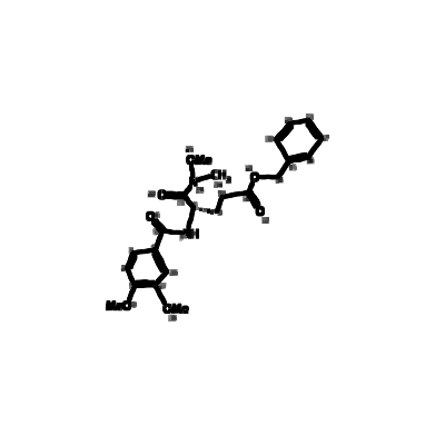 COc1ccc(C(=O)N[C@@H](CCC(=O)OCc2ccccc2)C(=O)N(C)OC)cc1OC